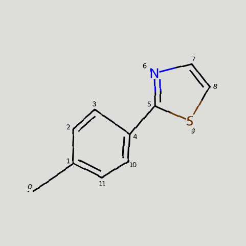 [CH2]c1ccc(-c2nccs2)cc1